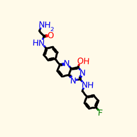 NCC(=O)Nc1ccc(-c2ccc3nc(NCc4ccc(F)cc4)nc(O)c3n2)cc1